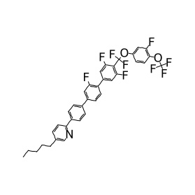 CCCCCc1ccc(-c2ccc(-c3ccc(-c4cc(F)c(C(F)(F)Oc5ccc(OC(F)(F)F)c(F)c5)c(F)c4)c(F)c3)cc2)nc1